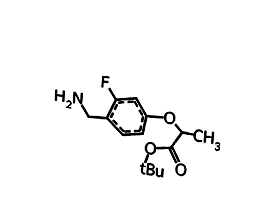 CC(Oc1ccc(CN)c(F)c1)C(=O)OC(C)(C)C